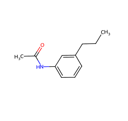 CCCc1cccc(NC(C)=O)c1